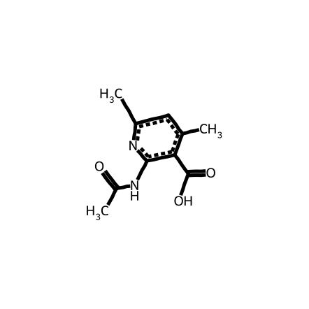 CC(=O)Nc1nc(C)cc(C)c1C(=O)O